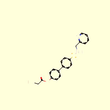 CCC(=O)Oc1ccc(-c2ccc(S(=O)(=O)NCc3ccccn3)cc2)cc1